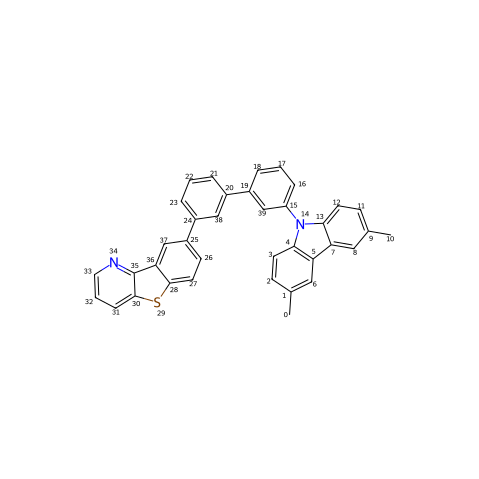 Cc1ccc2c(c1)c1cc(C)ccc1n2-c1cccc(-c2cccc(-c3ccc4sc5cccnc5c4c3)c2)c1